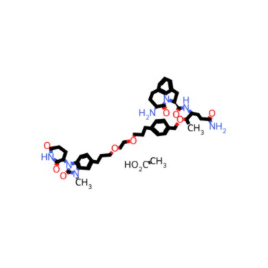 CC(=O)O.CC(OCc1ccc(CCCOCCOCCCc2ccc3c(c2)n(C)c(=O)n3C2CCC(=O)NC2=O)cc1)C(CCC(N)=O)NC(=O)[C@@H]1Cc2cccc3c2N1C(=O)[C@@H](N)CC3